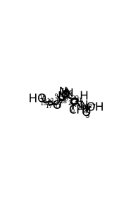 Cc1cc(-c2ncnn3cc(OC4CC(CO)C4)cc23)ccc1CNC(=O)O